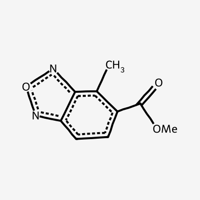 COC(=O)c1ccc2nonc2c1C